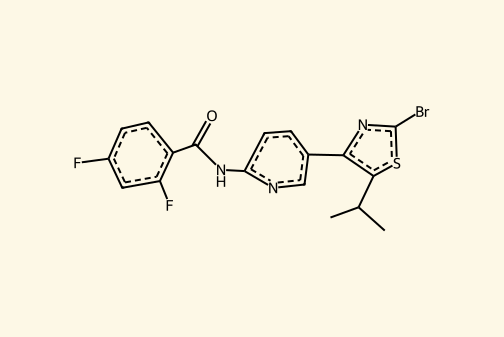 CC(C)c1sc(Br)nc1-c1ccc(NC(=O)c2ccc(F)cc2F)nc1